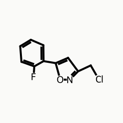 Fc1ccccc1-c1cc(CCl)no1